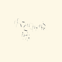 Cc1cc(C)n(CC(=O)N2CCN(c3ccc(C(F)(F)F)cc3-c3cnc(S(C)(=O)=O)nc3)CC2C)n1